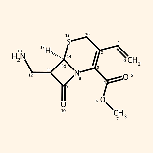 C=CC1=C(C(=O)OC)N2C(=O)C(CN)[C@H]2SC1